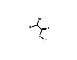 CCOC(=O)C(N=O)N=O